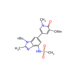 CCCCn1c(C)nc2c(NS(C)(=O)=O)cc(-c3cc(OC)c(=O)n(C)c3)cc21